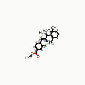 C=C(C1=C(C)CCCC1(C)C)/C(C)=C(\F)c1ccc(C(=O)OCCC)cc1Cl